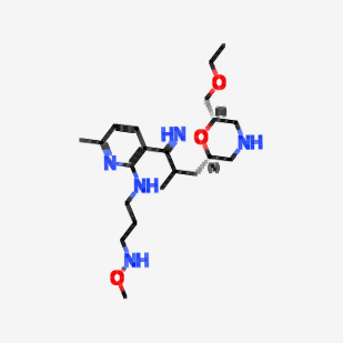 CCOC[C@@H]1CNC[C@H](CC(C)C(=N)c2ccc(C)nc2NCCCNOC)O1